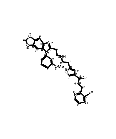 COc1cccc(-n2c(CCNCCc3nc(C(=O)NCc4ncccc4F)co3)nc3cc4c(cc32)OCO4)c1